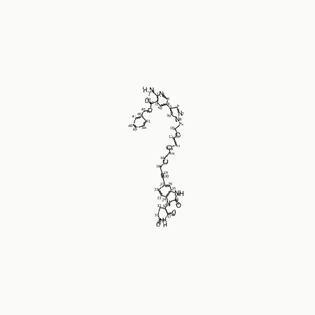 Nc1ncc(-c2cnn(CCOCCOCCOCC#Cc3ccc4c(c3)[nH]c(=O)n4C3CCC(=O)NC3=O)c2)cc1C(=O)OCc1ccccc1